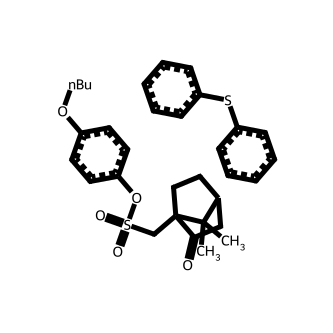 CCCCOc1ccc(OS(=O)(=O)CC23CCC(CC2=O)C3(C)C)cc1.c1ccc(Sc2ccccc2)cc1